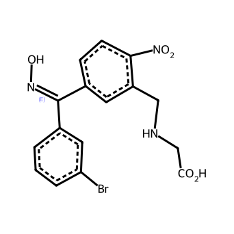 O=C(O)CNCc1cc(/C(=N\O)c2cccc(Br)c2)ccc1[N+](=O)[O-]